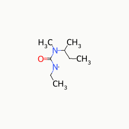 CC[N]C(=O)N(C)C(C)CC